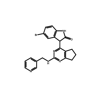 O=C1Nc2ccc(Br)cc2C1c1nc(NCc2cccnc2)nc2c1CCC2